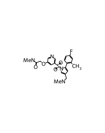 CNCc1cc(-c2ccc(F)cc2C)n(S(=O)(=O)c2cncc(OCC(=O)NC)c2)c1